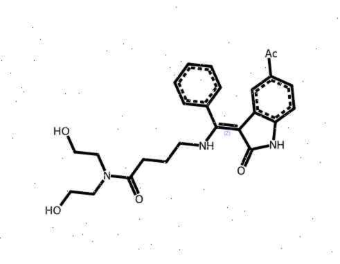 CC(=O)c1ccc2c(c1)/C(=C(/NCCCC(=O)N(CCO)CCO)c1ccccc1)C(=O)N2